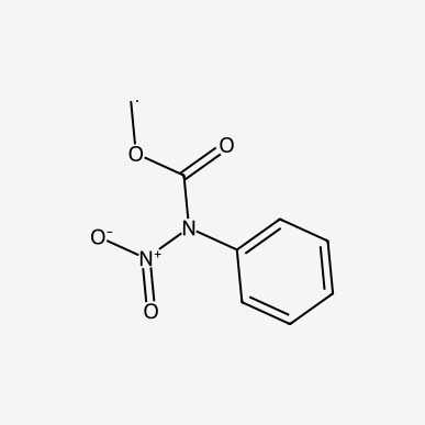 [CH2]OC(=O)N(c1ccccc1)[N+](=O)[O-]